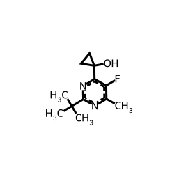 Cc1nc(C(C)(C)C)nc(C2(O)CC2)c1F